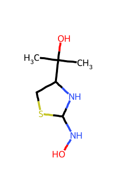 CC(C)(O)C1CSC(NO)N1